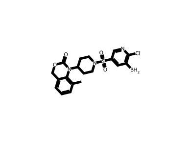 Bc1cc(S(=O)(=O)N2CCC(N3C(=O)OCc4cccc(C)c43)CC2)cnc1Cl